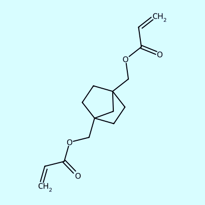 C=CC(=O)OCC12CCC(COC(=O)C=C)(CC1)C2